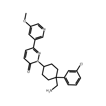 COc1cncc(-c2ccc(=O)n(C3CCC(CN)(c4cccc(Cl)c4)CC3)n2)c1